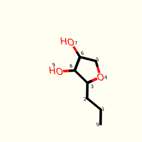 CCCC1OCC(O)C1O